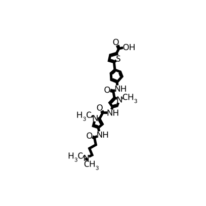 CN(C)CCCC(=O)Nc1cc(C(=O)Nc2cc(C(=O)Nc3ccc(-c4ccc(C(=O)O)s4)cc3)n(C)c2)n(C)c1